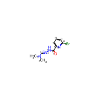 CN(C)/C=N/NC(=O)c1cccc(Br)n1